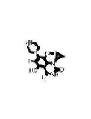 COc1c(N2CCNCC2)c(F)c(O)c2c(=O)[nH]c(=O)n(C3CC3)c12